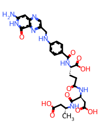 C[C@H](CC(=O)O)NC(=O)[C@H](CC(=O)O)NC(=O)CC[C@H](NC(=O)c1ccc(NCc2cnc3cc(N)[nH]c(=O)c3n2)cc1)C(=O)O